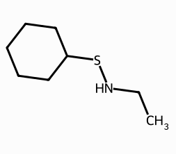 CCNSC1CCCCC1